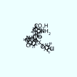 Cc1cc(OCCCc2c3n(c4c(-c5c(C)nn(C)c5C)c(Cl)ccc24)C(C)CN(c2cc(N)cc4c(C(=O)O)cn(C)c24)C3=O)cc(C)c1Cl